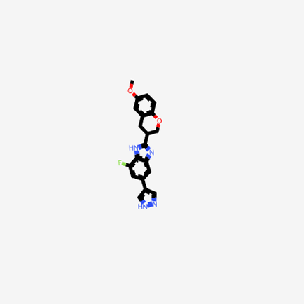 COc1ccc2c(c1)CC(c1nc3cc(-c4cn[nH]c4)cc(F)c3[nH]1)CO2